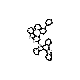 c1ccc(-c2ccc(-c3nc(-n4c5ccccc5c5c6c7ccccc7sc6c6ccccc6c54)nc4sc5ccccc5c34)c3ccccc23)cc1